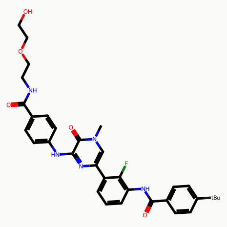 Cn1cc(-c2cccc(NC(=O)c3ccc(C(C)(C)C)cc3)c2F)nc(Nc2ccc(C(=O)NCCOCCO)cc2)c1=O